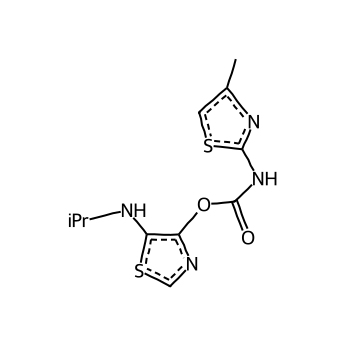 Cc1csc(NC(=O)Oc2ncsc2NC(C)C)n1